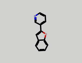 [c]1ccc(-c2cc3ccccc3o2)cn1